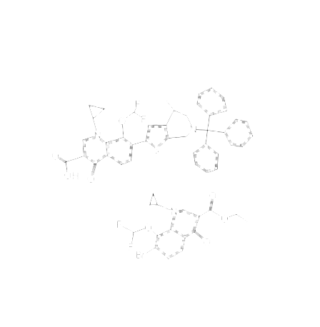 CC1CN(C(c2ccccc2)(c2ccccc2)c2ccccc2)Cc2sc(-c3ccc4c(=O)c(C(=O)O)cn(C5CC5)c4c3OC(F)F)cc21.CCOC(=O)c1cn(C2CC2)c2c(OC(F)F)c(Br)ccc2c1=O